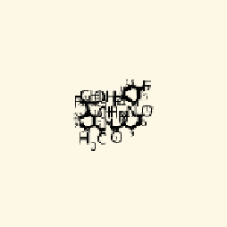 Cc1c([C@@H](C)NC(=O)c2ccc(=O)n(-c3cc(F)ccc3F)n2)cccc1C(C)(F)CO